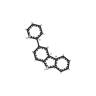 [c]1cccc2oc3ccc(-c4ccccn4)cc3c12